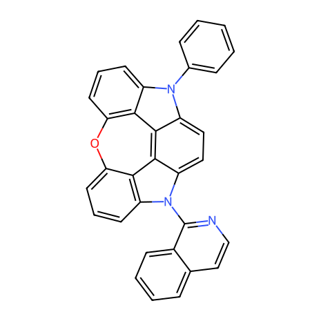 c1ccc(-n2c3cccc4oc5cccc6c5c5c(c43)c2ccc5n6-c2nccc3ccccc23)cc1